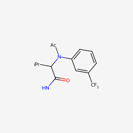 CC(=O)N(c1cccc(C(F)(F)F)c1)C(C([NH])=O)C(C)C